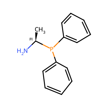 C[C@H](N)P(c1ccccc1)c1ccccc1